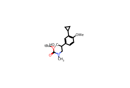 COc1ccc(C(CN(C)C(=O)OC(C)(C)C)C(=O)O)cc1C1CC1